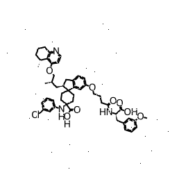 COc1cccc(C[C@@H](NC(=O)CCCOc2ccc3c(c2)C2(CCC(Nc4cccc(Cl)c4)(C(=O)O)CC2)[C@@H](C[C@@H](C)COc2ccnc4c2[C@H](C)CCC4)C3)C(=O)O)c1